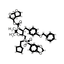 CC1(C)O[C@H](CN(CC2CCCC2)S(=O)(=O)c2ccc3c(c2)OCO3)[C@H](Cc2ccc(OCc3ccccn3)cc2)N1C(=O)OC1COC2OCCC12